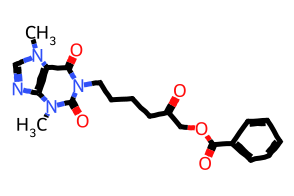 Cn1cnc2c1c(=O)n(CCCCC(=O)COC(=O)c1ccccc1)c(=O)n2C